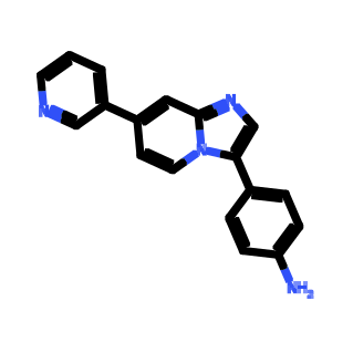 Nc1ccc(-c2cnc3cc(-c4cccnc4)ccn23)cc1